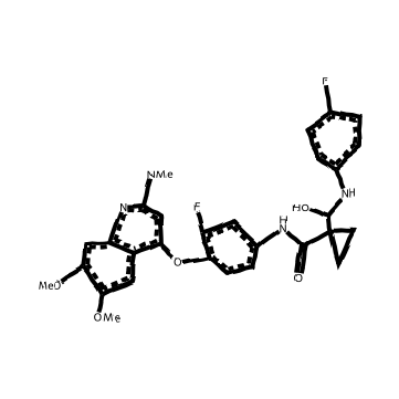 CNc1cc(Oc2ccc(NC(=O)C3(C(O)Nc4ccc(F)cc4)CC3)cc2F)c2cc(OC)c(OC)cc2n1